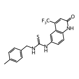 Cc1ccc(CNC(=S)Nc2ccc3[nH]c(=O)cc(C(F)(F)F)c3c2)cc1